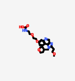 COCCc1nc2cnc3cc(OCCOCCNC(=O)O)ccc3c2n1CC1CCOCC1